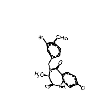 C[C@@H]1C(=O)Nc2cc(Cl)ccc2C(=O)N1Cc1ccc(C=O)c(Br)c1